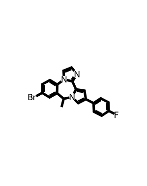 CC1c2cc(Br)ccc2-n2ccnc2-c2cc(-c3ccc(F)cc3)cn21